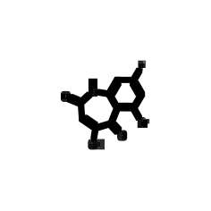 O=c1cc(O)c(=O)c2c(Br)cc(F)cc2[nH]1